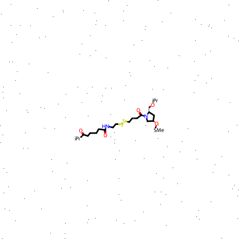 CSO[C@@H]1C[C@@H](COC(C)C)N(C(=O)CCCSSCCNC(=O)CCCCC(=O)C(C)C)C1